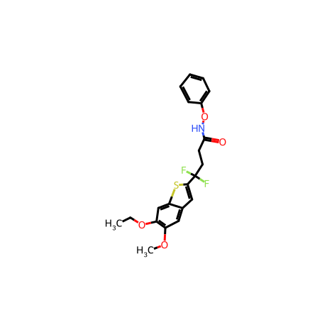 CCOc1cc2sc(C(F)(F)CCC(=O)NOc3ccccc3)cc2cc1OC